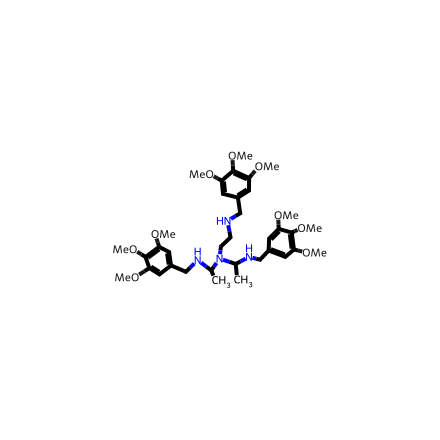 COc1cc(CNCCN(C(C)NCc2cc(OC)c(OC)c(OC)c2)C(C)NCc2cc(OC)c(OC)c(OC)c2)cc(OC)c1OC